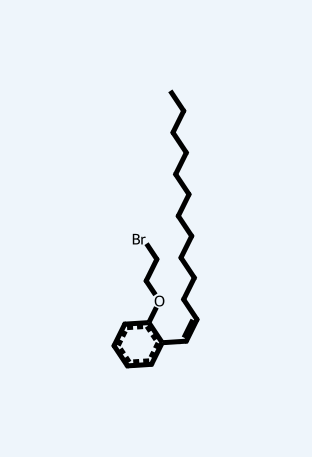 CCCCCCCCCCC/C=C\c1ccccc1OCCBr